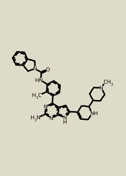 Cc1c(NC(=O)N2Cc3ccccc3C2)cccc1-c1nc(N)nc2[nH]c(C3=CCNC(C4CCN(C)CC4)C3)cc12